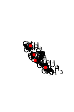 CCOC(=O)C(CSC(=O)C(CSC(=O)c1ccccc1OC(=O)c1ccccc1OC(=O)C(CSC(=O)C(CS)NC(C)=O)NC(C)=O)NC(C)=O)NC(C)=O